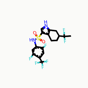 CC(F)(F)C1CCc2c(S(=O)(=O)Nc3cc(F)c(C(F)(F)F)cc3F)c[nH]c2C1